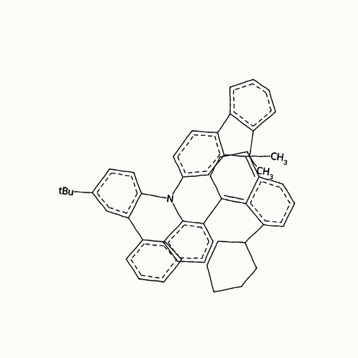 CC(C)(C)c1ccc(N(c2ccc3c(c2)C(C)(C)c2ccccc2-3)c2ccccc2C2=c3c(C4CCCCC4)cccc3=CCC2)c(-c2ccccc2)c1